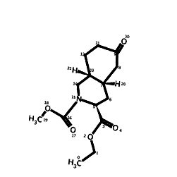 CCOC(=O)[C@@H]1C[C@H]2CC(=O)CC[C@H]2CN1C(=O)OC